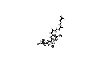 CC(C)=CCCC(C)=CCCC(C)=CCCCC(P(=O)(OCOC(=O)C(C)C)OCOC(=O)C(C)C)S(=O)(=O)O